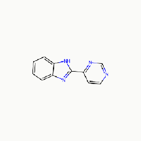 c1ccc2[nH]c(-c3ccncn3)nc2c1